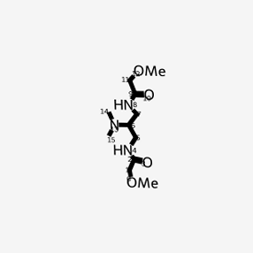 COCC(=O)NCC(CNC(=O)COC)N(C)C